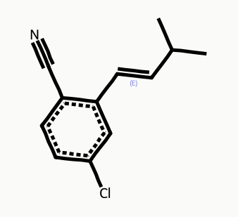 CC(C)/C=C/c1cc(Cl)ccc1C#N